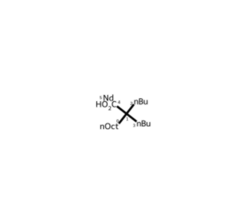 CCCCCCCCC(CCCC)(CCCC)C(=O)O.[Nd]